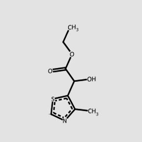 CCOC(=O)C(O)c1s[c]nc1C